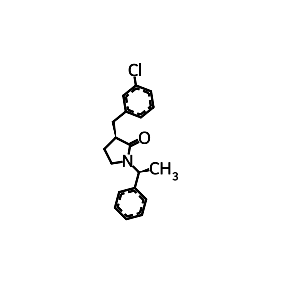 C[C@@H](c1ccccc1)N1CC[C@@H](Cc2cccc(Cl)c2)C1=O